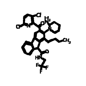 CCCCc1c2c(cc(C(=O)c3nc(Cl)ccc3Cl)c1N1CCCCC1N)-c1ccccc1C2C(=O)NCC(F)(F)F